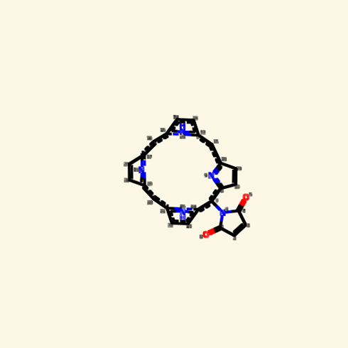 O=C1C=CC(=O)N1c1c2nc(cc3ccc(cc4nc(cc5ccc1[nH]5)C=C4)[nH]3)C=C2